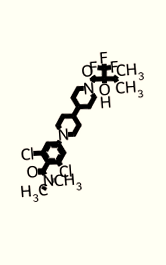 CC(C)C(O)(C(=O)N1CCC(C2CCN(c3cc(Cl)c(C(=O)N(C)C)c(Cl)c3)CC2)CC1)C(F)(F)F